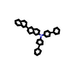 c1ccc(-c2ccc(N(c3ccc(-c4ccccc4)cc3)c3ccc4cc(-c5ccc6ccccc6c5)ccc4c3)cc2)cc1